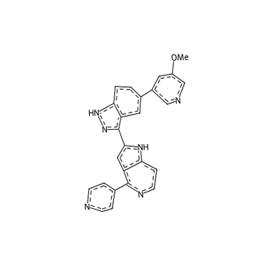 COc1cncc(-c2ccc3[nH]nc(-c4cc5c(-c6ccncc6)nccc5[nH]4)c3c2)c1